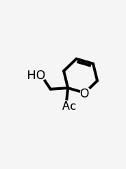 CC(=O)C1(CO)CC=CCO1